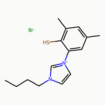 CCCCn1cc[n+](-c2cc(C)cc(C)c2S)c1.[Br-]